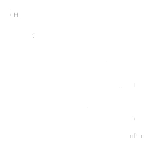 CCCCCOc1ccc(-c2ccc(-c3ccc(C)s3)c(F)c2F)c(F)c1F